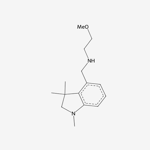 COCCNCc1cccc2c1C(C)(C)CN2C